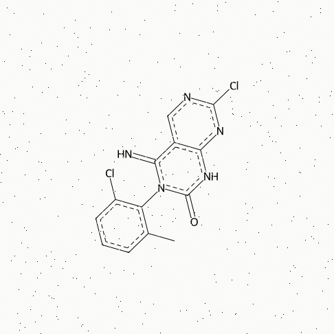 Cc1cccc(Cl)c1-n1c(=O)[nH]c2nc(Cl)ncc2c1=N